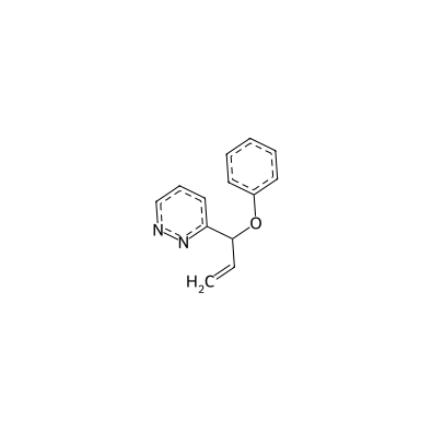 C=CC(Oc1ccccc1)c1cccnn1